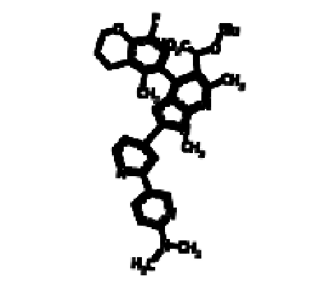 Cc1nc2c(cc(-c3ccnc(-c4ccc(N(C)C)nc4)c3)n2C)c(-c2cc(F)c3c(c2C)CCCO3)c1[C@H](OC(C)(C)C)C(=O)O